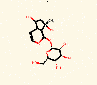 CC1(O)CC(O)C2C=COC(O[C@@H]3O[C@H](CO)[C@@H](O)[C@H](O)[C@H]3O)C21